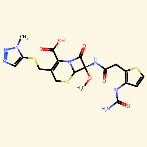 CO[C@@]1(NC(=O)Cc2sccc2NC(N)=O)C(=O)N2C(C(=O)O)=C(CSc3cnnn3C)CSC21